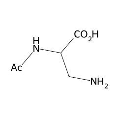 CC(=O)NC(CN)C(=O)O